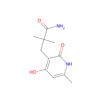 Cc1cc(O)c(CC(C)(C)C(N)=O)c(=O)[nH]1